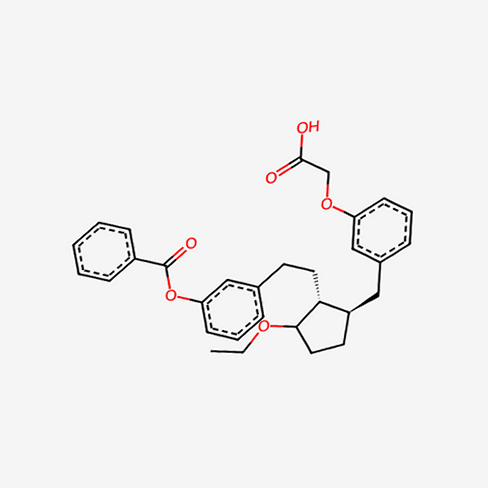 CCOC1CC[C@H](Cc2cccc(OCC(=O)O)c2)[C@H]1CCc1cccc(OC(=O)c2ccccc2)c1